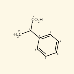 [CH2]C(C(=O)O)c1ccccc1